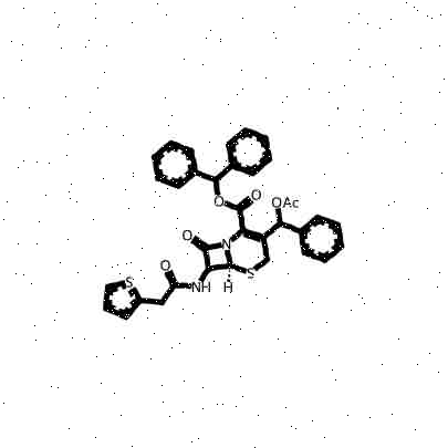 CC(=O)OC(C1=C(C(=O)OC(c2ccccc2)c2ccccc2)N2C(=O)C(NC(=O)Cc3cccs3)[C@@H]2SC1)c1ccccc1